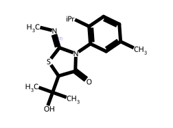 C/N=C1\SC(C(C)(C)O)C(=O)N1c1cc(C)ccc1C(C)C